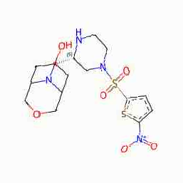 O=[N+]([O-])c1ccc(S(=O)(=O)N2CCN[C@@H](CN3C4COCC3CC(O)C4)C2)s1